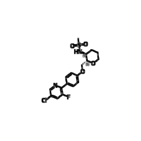 CS(=O)(=O)N[C@H]1CCCO[C@@H]1COc1ccc(-c2ncc(Cl)cc2F)cc1